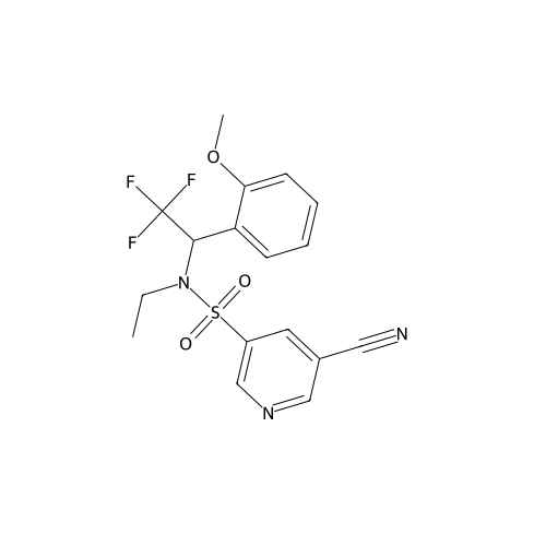 CCN(C(c1ccccc1OC)C(F)(F)F)S(=O)(=O)c1cncc(C#N)c1